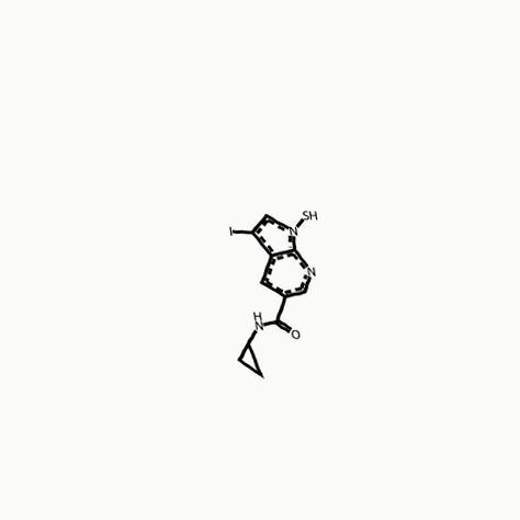 O=C(NC1CC1)c1cnc2c(c1)c(I)cn2S